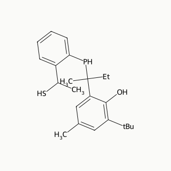 CCC(C)(Pc1ccccc1C(C)S)c1cc(C)cc(C(C)(C)C)c1O